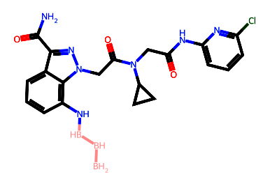 BBBNc1cccc2c(C(N)=O)nn(CC(=O)N(CC(=O)Nc3cccc(Cl)n3)C3CC3)c12